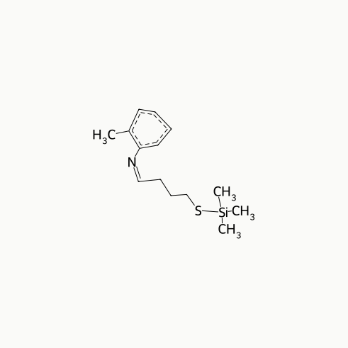 Cc1ccccc1/N=C\CCCS[Si](C)(C)C